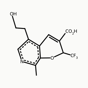 Cc1ncc(CCO)c2c1OC(C(F)(F)F)C(C(=O)O)=C2